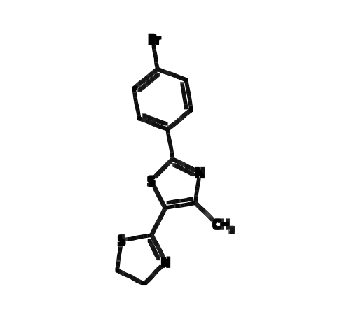 Cc1nc(-c2ccc(Br)cc2)sc1C1=NCCS1